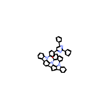 c1ccc(-c2cc(-c3ccc(-n4c5ccccc5c5ccc6c7ccc8c9ccccc9n(-c9ccccc9)c8c7n(-c7ccccc7)c6c54)cc3)nc(-c3ccccc3)n2)cc1